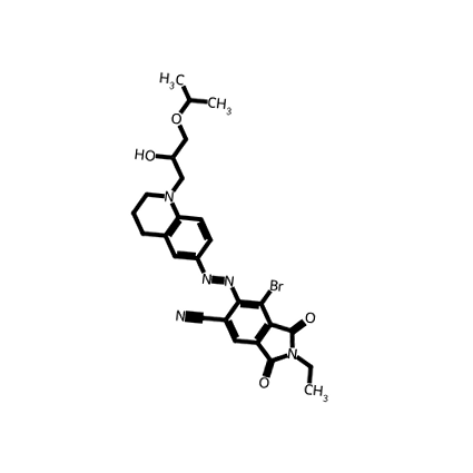 CCN1C(=O)c2cc(C#N)c(/N=N/c3ccc4c(c3)CCCN4CC(O)COC(C)C)c(Br)c2C1=O